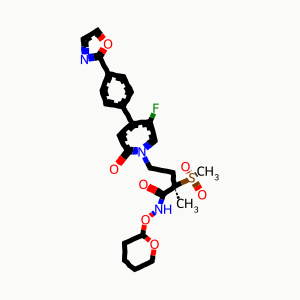 C[C@@](CCn1cc(F)c(-c2ccc(-c3ncco3)cc2)cc1=O)(C(=O)NOC1CCCCO1)S(C)(=O)=O